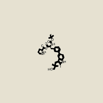 CC(C)(CO)Cc1c(I)[nH]c2ccc(-c3cccc(C[C@H](NC(=O)OC(C)(C)C)C(=O)OC(=O)C4CCCNN4)c3)cc12